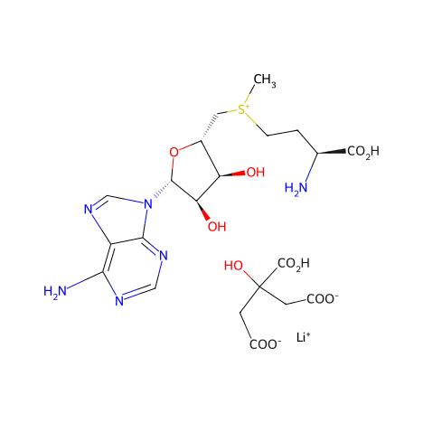 C[S+](CC[C@H](N)C(=O)O)C[C@H]1O[C@@H](n2cnc3c(N)ncnc32)[C@H](O)[C@@H]1O.O=C([O-])CC(O)(CC(=O)[O-])C(=O)O.[Li+]